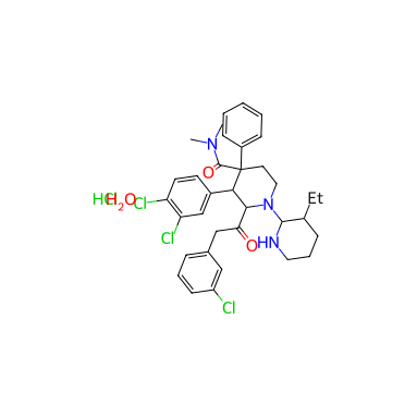 CCC1CCCNC1N1CCC(C(=O)N(C)C)(c2ccccc2)C(c2ccc(Cl)c(Cl)c2)C1C(=O)Cc1cccc(Cl)c1.Cl.O